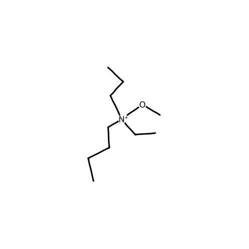 CCCC[N+](CC)(CCC)OC